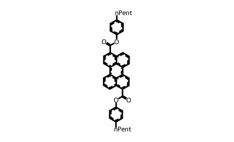 CCCCCc1ccc(OC(=O)c2ccc3c4cccc5c(C(=O)Oc6ccc(CCCCC)cc6)ccc(c6cccc2c63)c54)cc1